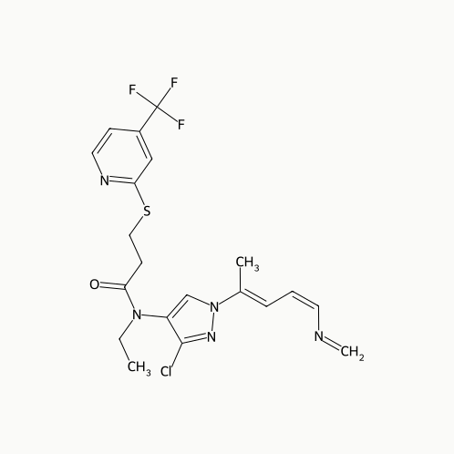 C=N/C=C\C=C(/C)n1cc(N(CC)C(=O)CCSc2cc(C(F)(F)F)ccn2)c(Cl)n1